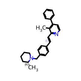 Cc1c(-c2ccccc2)ccnc1/C=C/c1ccc(CN2CCCC[C@H]2C)cc1